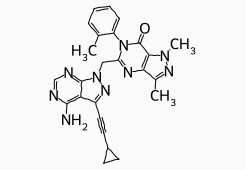 Cc1ccccc1-n1c(Cn2nc(C#CC3CC3)c3c(N)ncnc32)nc2c(C)nn(C)c2c1=O